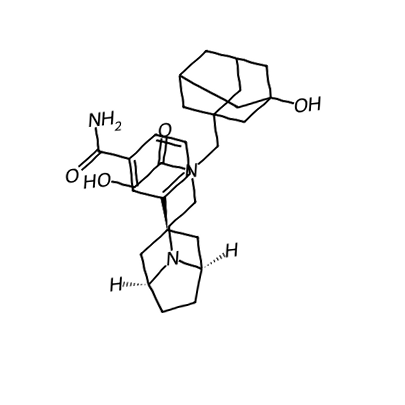 NC(=O)c1cccc([C@H]2C[C@H]3CC[C@@H](C2)N3CCN(CC23CC4CC(CC(O)(C4)C2)C3)C(=O)CO)c1